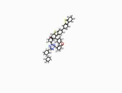 c1ccc(-c2cccc(-c3nc(-c4ccccc4)nc(-c4cccc5oc6ccc(-c7cccc8sc9cc(-c%10ccc%11c(c%10)sc%10ccccc%10%11)ccc9c78)cc6c45)n3)c2)cc1